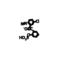 N#[N+]c1ccc(Cl)cc1Cl.O=C([O-])c1ccccc1OS(=O)(=O)O